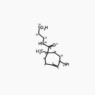 CC(C)C1/C=C/CCC(C)(C(=O)NCCS(=O)(=O)O)CC1